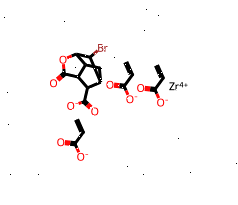 C=CC(=O)[O-].C=CC(=O)[O-].C=CC(=O)[O-].O=C([O-])C1C2CC3C(OC(=O)C31)C2Br.[Zr+4]